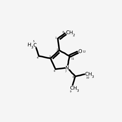 C=CC1=C(CC)CN(C(C)C)C1=O